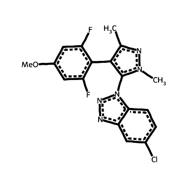 COc1cc(F)c(-c2c(C)nn(C)c2-n2nnc3cc(Cl)ccc32)c(F)c1